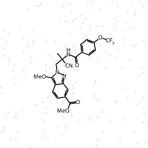 COC(=O)c1ccc2c(OC)n(CC(C)(C#N)NC(=O)c3ccc(OC(F)(F)F)cc3)nc2c1